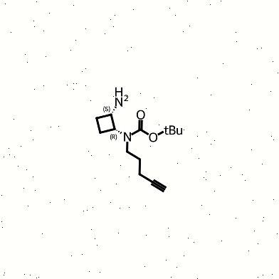 C#CCCCN(C(=O)OC(C)(C)C)[C@@H]1CC[C@@H]1N